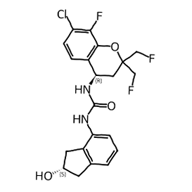 O=C(Nc1cccc2c1C[C@@H](O)C2)N[C@@H]1CC(CF)(CF)Oc2c1ccc(Cl)c2F